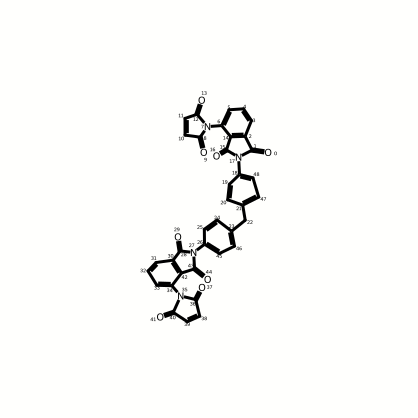 O=C1c2cccc(N3C(=O)C=CC3=O)c2C(=O)N1c1ccc(Cc2ccc(N3C(=O)c4cccc(N5C(=O)C=CC5=O)c4C3=O)cc2)cc1